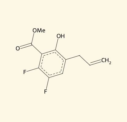 C=CCc1cc(F)c(F)c(C(=O)OC)c1O